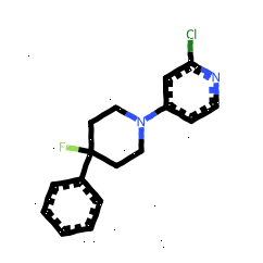 FC1(c2ccccc2)CCN(c2ccnc(Cl)c2)CC1